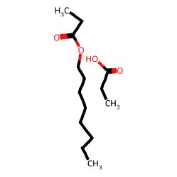 CCC(=O)O.CCCCCCCCOC(=O)CC